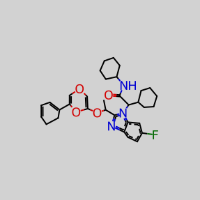 CC(OC1=COC=C(C2=CC=CCC2)O1)c1nc2ccc(F)cc2n1C(C(=O)NC1CCCCC1)C1CCCCC1